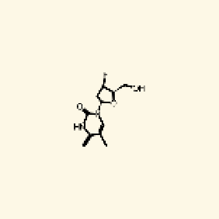 C=C1NC(=O)N([C@H]2CC(F)[C@@H](CO)O2)C=C1C